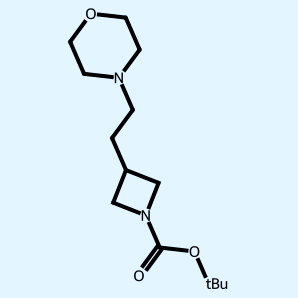 CC(C)(C)OC(=O)N1CC(CCN2CCOCC2)C1